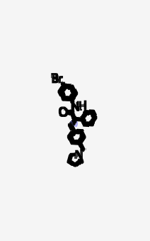 O=C(Nc1ccc(Br)cc1)/C(=C/c1ccc(CN2CCCC2)cc1)c1ccccc1